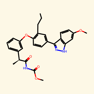 CCCc1cc(-c2n[nH]c3cc(OC)ccc23)ccc1Oc1cccc([C@H](C)C(=O)NC(=O)OC)c1